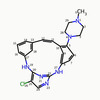 CN1CCN(c2ccc3cc2/C=C\c2cccc(c2)Nc2nc(ncc2Cl)N3)CC1